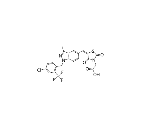 Cc1nn(Cc2ccc(Cl)cc2C(F)(F)F)c2ccc(C=C3SC(=O)N(CC(=O)O)C3=O)cc12